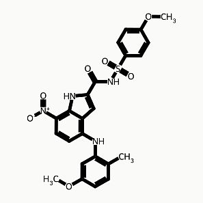 COc1ccc(S(=O)(=O)NC(=O)c2cc3c(Nc4cc(OC)ccc4C)ccc([N+](=O)[O-])c3[nH]2)cc1